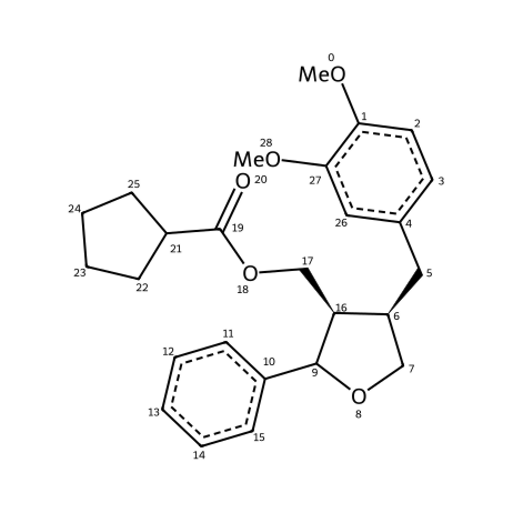 COc1ccc(C[C@H]2COC(c3ccccc3)[C@H]2COC(=O)C2CCCC2)cc1OC